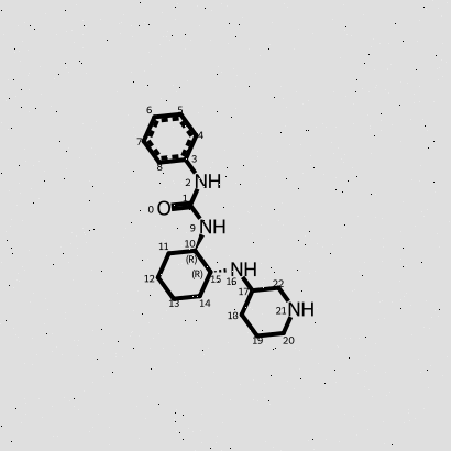 O=C(Nc1ccccc1)N[C@@H]1CCCC[C@H]1NC1CCCNC1